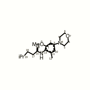 COc1cc(N2CCOCC2)cc(C)c1NC(=O)CCC(C)C